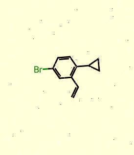 C=Cc1cc(Br)ccc1C1CC1